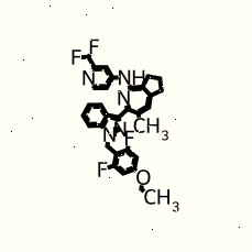 CCOc1cc(F)c(Cn2nc(C3=NC(Nc4ccnc(C(F)F)c4)=C4CCCC4=C=C3C)c3ccccc32)c(F)c1